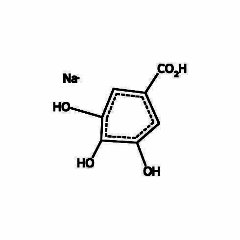 O=C(O)c1cc(O)c(O)c(O)c1.[Na]